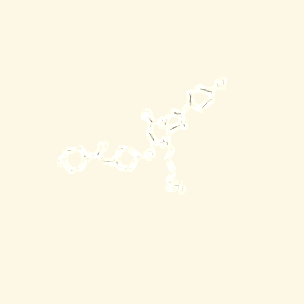 CCCCCn1c(OC2CCN(CC(=O)N3CCOCC3)CC2)cc(=O)n2cc(-c3ccc(Cl)cc3)nc12